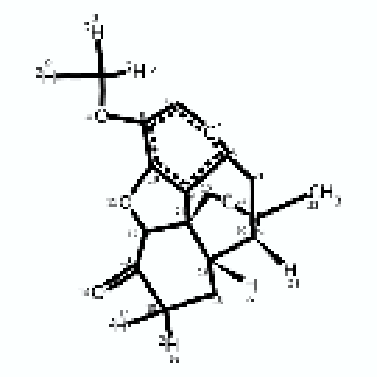 [2H]C([2H])([2H])Oc1ccc2c3c1OC1C(=O)C([2H])([2H])C[C@H]4[C@@H](C2)N(C)CC[C@]314